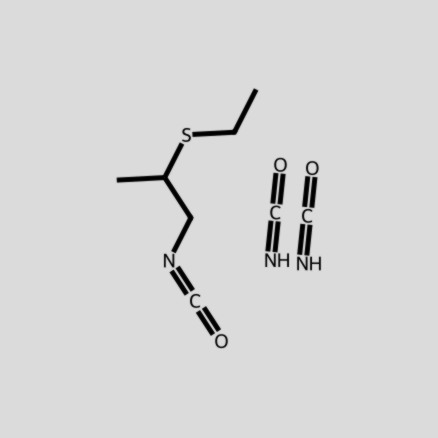 CCSC(C)CN=C=O.N=C=O.N=C=O